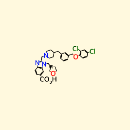 O=C(O)c1ccc2nc(CN3CCC(Cc4cccc(COc5ccc(Cl)cc5Cl)c4)CC3)n(C[C@H]3CCOC3)c2c1